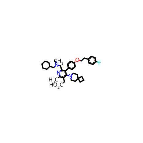 Cc1nc(CN(C)CC2CCCCC2)c(-c2ccc(OCCc3ccc(F)cc3)cc2)c(N2CCC3(CCC3)CC2)c1CC(=O)O